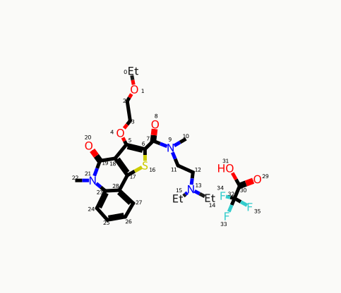 CCOCCOc1c(C(=O)N(C)CCN(CC)CC)sc2c1c(=O)n(C)c1ccccc21.O=C(O)C(F)(F)F